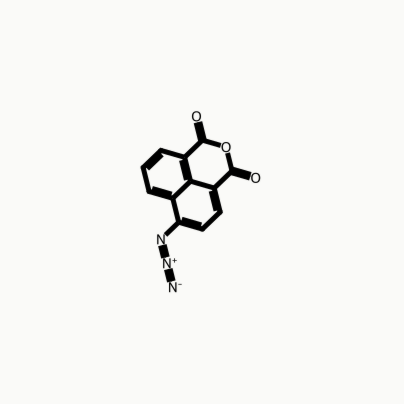 [N-]=[N+]=Nc1ccc2c3c(cccc13)C(=O)OC2=O